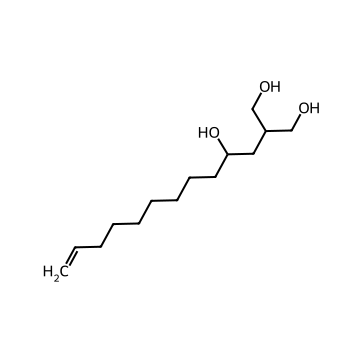 C=CCCCCCCCC(O)CC(CO)CO